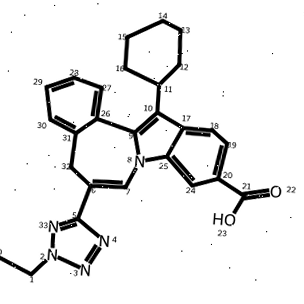 CCn1nnc(C2=Cn3c(c(C4CCCCC4)c4ccc(C(=O)O)cc43)-c3ccccc3C2)n1